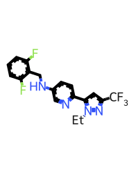 CCn1nc(C(F)(F)F)cc1-c1ccc(NCc2c(F)cccc2F)cn1